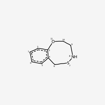 c1ccc2c(c1)CSNCCO2